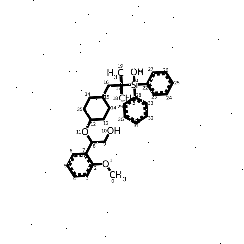 COc1ccccc1C(CO)OC1CCC(CC(C)(C)[Si](O)(c2ccccc2)c2ccccc2)CC1